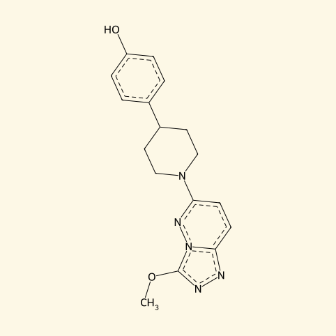 COc1nnc2ccc(N3CCC(c4ccc(O)cc4)CC3)nn12